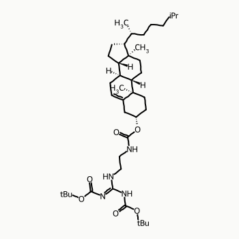 CC(C)CCC[C@@H](C)[C@H]1CC[C@H]2[C@@H]3CC=C4C[C@@H](OC(=O)NCCN/C(=N\C(=O)OC(C)(C)C)NC(=O)OC(C)(C)C)CC[C@]4(C)[C@H]3CC[C@]12C